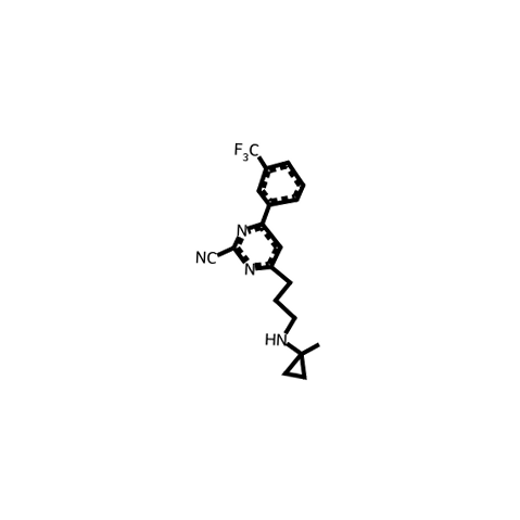 CC1(NCCCc2cc(-c3cccc(C(F)(F)F)c3)nc(C#N)n2)CC1